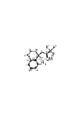 CC1(CC(O)C(F)(F)F)CCSc2ccccc21